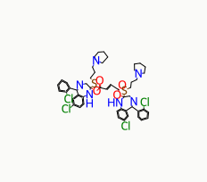 O=C(/C=C/C(=O)OC1(SCCCN2CCCCC2)CN=C(c2ccccc2Cl)c2cc(Cl)ccc2N1)OC1(SCCCN2CCCCC2)CN=C(c2ccccc2Cl)c2cc(Cl)ccc2N1